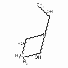 CCCCCC[C@@H](O)C/C=C\CCCCCCCCN(CCCCCCCC/C=C\C[C@H](O)CCCCCC)CCCCCCCC/C=C\C[C@H](O)CCCCCC